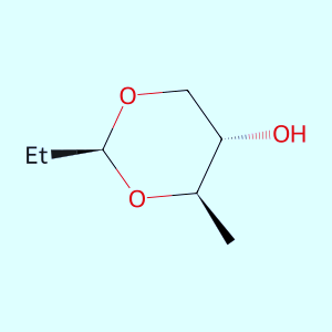 CC[C@H]1OC[C@H](O)[C@@H](C)O1